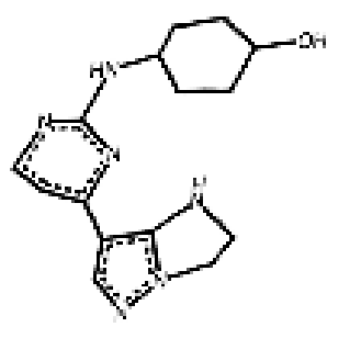 OC1CCC(Nc2nccc(-c3cnn4c3NCC4)n2)CC1